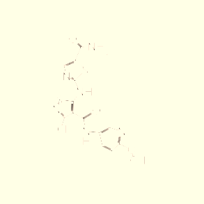 COc1ccc(NC(=O)c2c(C)nsc2Nc2ncc(C(N)=O)s2)cn1